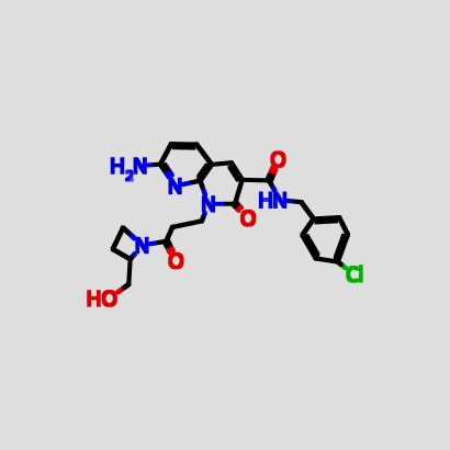 Nc1ccc2cc(C(=O)NCc3ccc(Cl)cc3)c(=O)n(CCC(=O)N3CCC3CO)c2n1